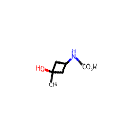 N#CC1(O)CC(NC(=O)O)C1